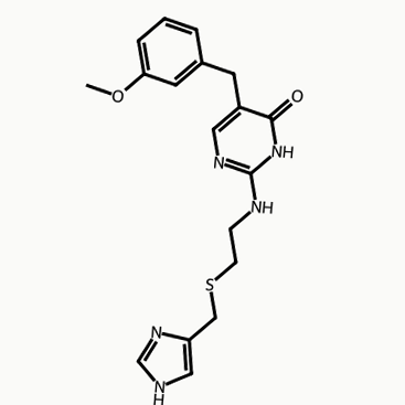 COc1cccc(Cc2cnc(NCCSCc3c[nH]cn3)[nH]c2=O)c1